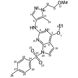 CCOc1nc(Nc2cnn(CCOC)c2C)nc2c1ccn2S(=O)(=O)c1ccc(C)cc1